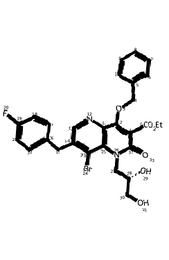 CCOC(=O)c1c(OCc2ccccc2)c2ncc(Cc3ccc(F)cc3)c(Br)c2n(C[C@H](O)CO)c1=O